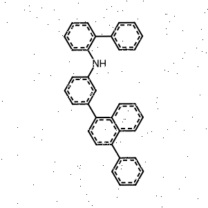 c1ccc(-c2ccccc2Nc2cccc(-c3ccc(-c4ccccc4)c4ccccc34)c2)cc1